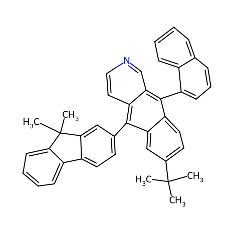 CC(C)(C)c1ccc2c(-c3cccc4ccccc34)c3cnccc3c(-c3ccc4c(c3)C(C)(C)c3ccccc3-4)c2c1